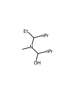 CCCC(O)N(C)C(CC)CCC